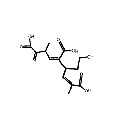 C=C(C(=O)O)C(C)C=C(C(=O)O)C(C=C(C)C(=O)O)CCO